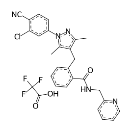 Cc1nn(-c2ccc(C#N)c(Cl)c2)c(C)c1Cc1ccccc1C(=O)NCc1ccccn1.O=C(O)C(F)(F)F